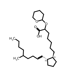 CCCCC(C)CCC=C[C@H]1CCC[C@@H]1CCCCCC(OC1CCCCO1)C(=O)O